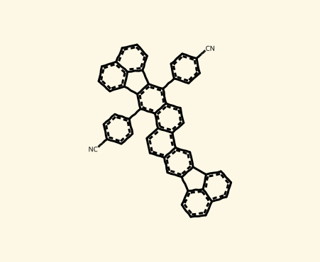 N#Cc1ccc(-c2c3c(c(-c4ccc(C#N)cc4)c4c2ccc2c5cc6c(cc5ccc24)-c2cccc4cccc-6c24)-c2cccc4cccc-3c24)cc1